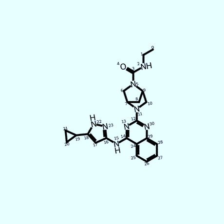 CCNC(=O)N1CC2CC1CN2c1nc(Nc2cc(C3CC3)[nH]n2)c2ccccc2n1